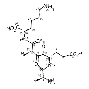 C[C@H](N)C(=O)N[C@@H](CCC(=O)O)C(=O)N[C@@H](C)C(=O)N[C@@H](CCCCN)C(=O)O